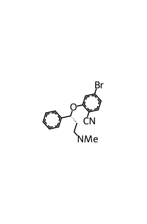 CNCC[C@@H](Oc1cc(Br)ccc1C#N)c1ccccc1